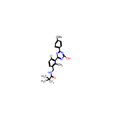 Cc1c(CNC(=O)C(C)(C)C(F)(F)F)ccc(Cl)c1-c1nc(O)nc(-c2ccc(OCC(C)C)cc2)n1